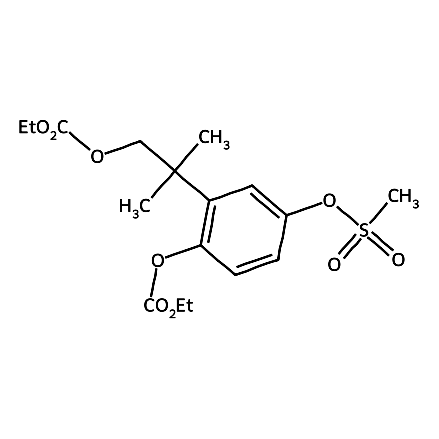 CCOC(=O)OCC(C)(C)c1cc(OS(C)(=O)=O)ccc1OC(=O)OCC